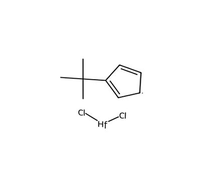 CC(C)(C)C1=C[CH]C=C1.[Cl][Hf][Cl]